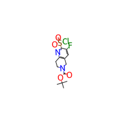 CC(C)(C)OC(=O)N1CCc2nc(S(=O)(=O)Cl)c(F)cc2C1